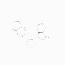 CCC(=O)c1nn(CC2(n3cc(C)c4cccnc43)CCCC2)cc(O)c1=O